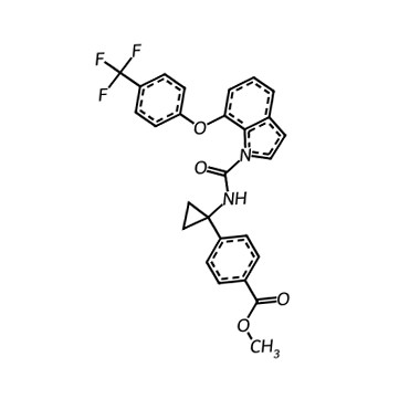 COC(=O)c1ccc(C2(NC(=O)n3ccc4cccc(Oc5ccc(C(F)(F)F)cc5)c43)CC2)cc1